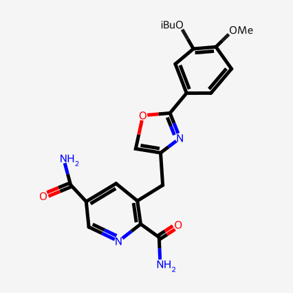 COc1ccc(-c2nc(Cc3cc(C(N)=O)cnc3C(N)=O)co2)cc1OCC(C)C